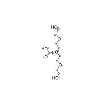 O=C(O)Cl.OCCOCCOCCOCCO